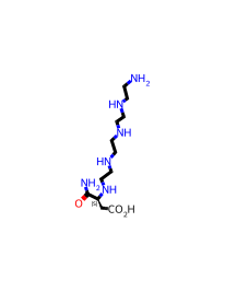 NCCNCCNCCNCCN[C@@H](CC(=O)O)C(N)=O